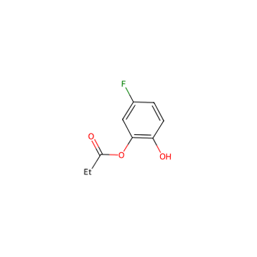 CCC(=O)Oc1cc(F)ccc1O